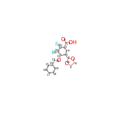 O=C(O)c1cc(C2OCCO2)c(OCc2ccccc2)c(F)c1F